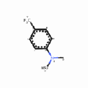 [CH2]CCCN(C)c1ccc(C(F)(F)F)cc1